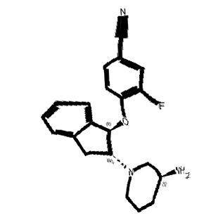 N#Cc1ccc(O[C@@H]2c3ccccc3C[C@H]2N2CCC[C@H](N)C2)c(F)c1